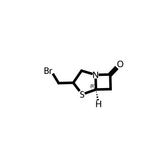 O=C1C[C@H]2SC(CBr)CN12